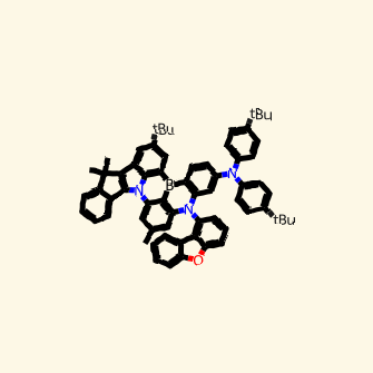 Cc1cc2c3c(c1)-n1c4c(c5cc(C(C)(C)C)cc(c51)B3c1ccc(N(c3ccc(C(C)(C)C)cc3)c3ccc(C(C)(C)C)cc3)cc1N2c1cccc2oc3ccccc3c12)C(C)(C)c1ccccc1-4